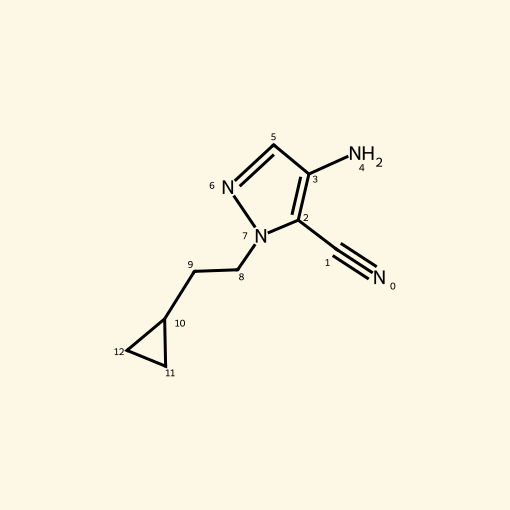 N#Cc1c(N)cnn1CCC1CC1